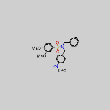 COc1ccc(S(=O)(=O)N(Cc2ccccc2)Cc2ccc(NC=O)cc2)cc1OC